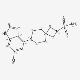 NS(=O)(=O)N1CC2(CCN(c3cc(Cl)cc4[nH]ncc34)CC2)C1